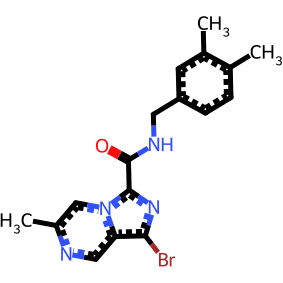 Cc1cn2c(C(=O)NCc3ccc(C)c(C)c3)nc(Br)c2cn1